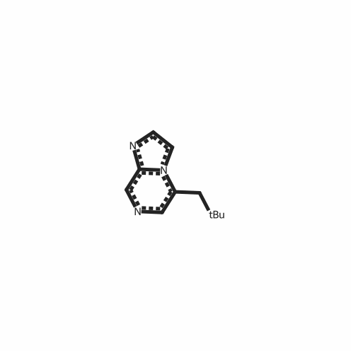 CC(C)(C)Cc1cncc2nccn12